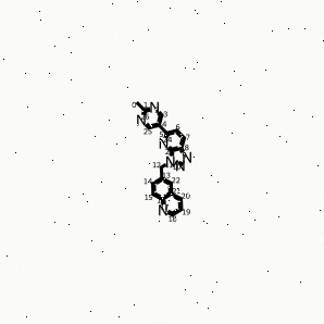 Cc1ncc(-c2ccc3nnn(Cc4ccc5ncccc5c4)c3n2)cn1